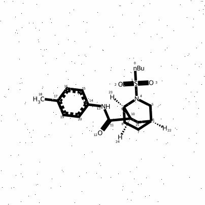 CCCCS(=O)(=O)N1C[C@H]2CC[C@@H]1[C@H](C(=O)Nc1ccc(C)cc1)C2